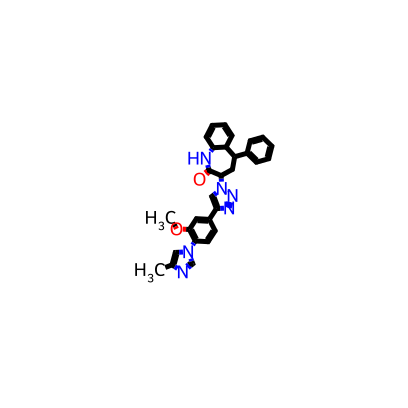 COc1cc(-c2cn(C3CC(c4ccccc4)C4C=CC=CC4NC3=O)nn2)ccc1-n1cnc(C)c1